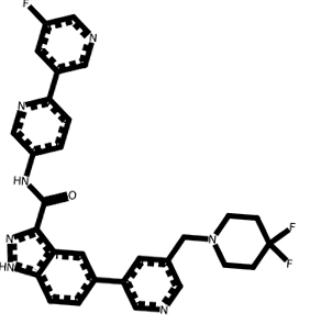 O=C(Nc1ccc(-c2cncc(F)c2)nc1)c1n[nH]c2ccc(-c3cncc(CN4CCC(F)(F)CC4)c3)cc12